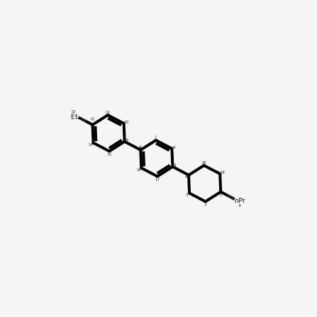 CCCC1CCC(c2ccc(-c3ccc(CC)cc3)cc2)CC1